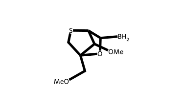 BC1OC2(COC)CSC1C2OC